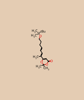 C/C(=C\C=C\CCCO[Si](C)(C)C(C)(C)C)C1=CC(=O)OC(C)(C)O1